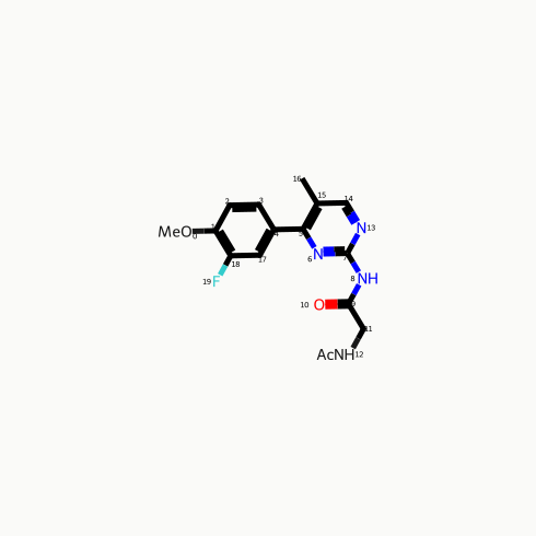 COc1ccc(-c2nc(NC(=O)CNC(C)=O)ncc2C)cc1F